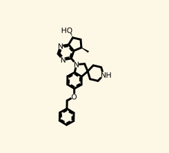 C[C@@H]1C[C@@H](O)c2ncnc(N3CC4(CCNCC4)c4cc(OCc5ccccc5)ccc43)c21